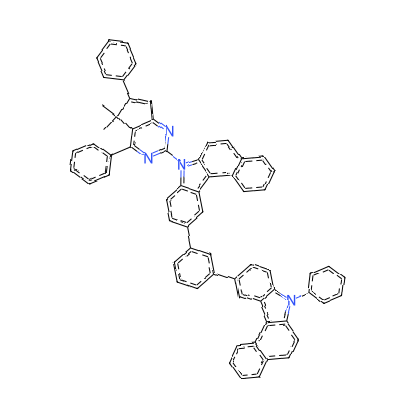 CC1(C)C(c2ccccc2)=Cc2nc(-n3c4ccc(-c5cccc(-c6ccc7c(c6)c6c8ccccc8ccc6n7-c6ccccc6)c5)cc4c4c5ccccc5ccc43)nc(-c3ccccc3)c21